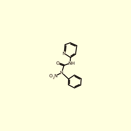 O=C(Nc1ccccn1)N(c1ccccc1)[N+](=O)[O-]